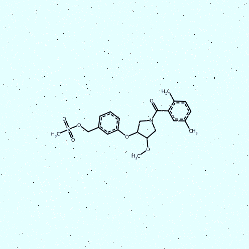 COC1CN(C(=O)c2cc(C)ccc2C)CC1Oc1cccc(COS(C)(=O)=O)c1